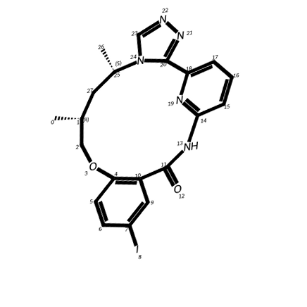 C[C@H]1COc2ccc(I)cc2C(=O)Nc2cccc(n2)-c2nncn2[C@@H](C)C1